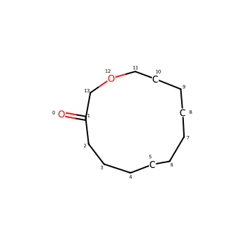 O=C1CCCCCCCCCCOC1